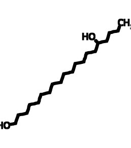 CCCCC(O)CCCCCCCCCCCCCCCO